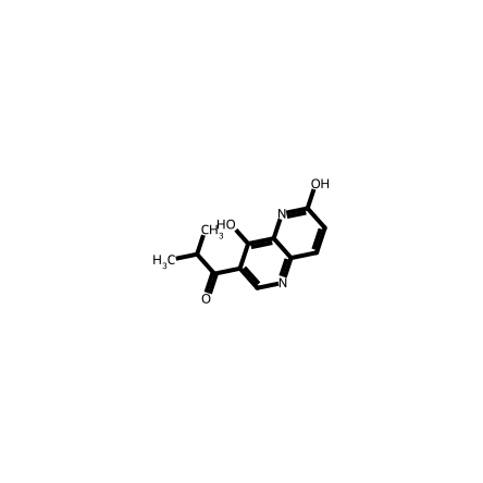 CC(C)C(=O)c1cnc2ccc(O)nc2c1O